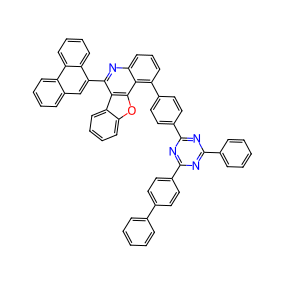 c1ccc(-c2ccc(-c3nc(-c4ccccc4)nc(-c4ccc(-c5cccc6nc(-c7cc8ccccc8c8ccccc78)c7c8ccccc8oc7c56)cc4)n3)cc2)cc1